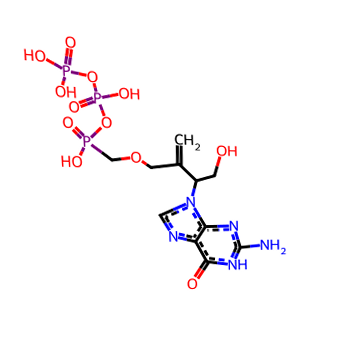 C=C(COCP(=O)(O)OP(=O)(O)OP(=O)(O)O)C(CO)n1cnc2c(=O)[nH]c(N)nc21